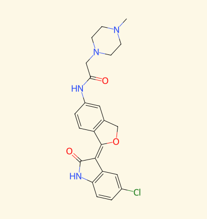 CN1CCN(CC(=O)Nc2ccc3c(c2)COC3=C2C(=O)Nc3ccc(Cl)cc32)CC1